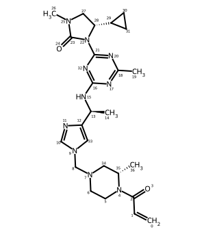 C=CC(=O)N1CCN(Cn2cnc([C@H](C)Nc3nc(C)nc(N4C(=O)N(C)C[C@@H]4C4CC4)n3)c2)C[C@@H]1C